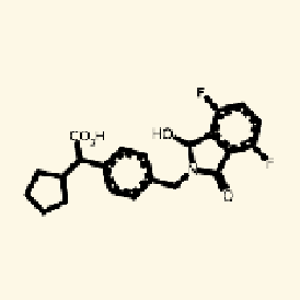 O=C(O)C(c1ccc(CN2C(=O)c3c(F)ccc(F)c3C2O)cc1)C1CCCC1